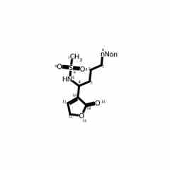 CCCCCCCCCCCCC(NS(C)(=O)=O)C1=CCOC1=O